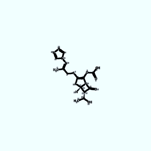 CC(CSC1=C(OC(=O)O)N2C(=O)[C@H](C(C)O)[C@H]2S1)=Nn1cnnc1